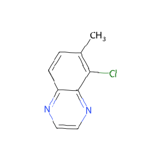 Cc1ccc2nccnc2c1Cl